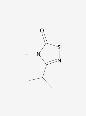 CC(C)c1nsc(=O)n1C